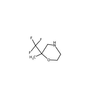 CC1(C(F)(F)F)CNCCO1